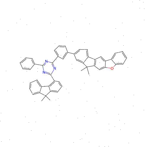 CC1(C)c2cc(-c3cccc(-c4nc(-c5ccccc5)nc(-c5cccc6c5-c5ccccc5C6(C)C)n4)c3)ccc2-c2cc3c(cc21)oc1ccccc13